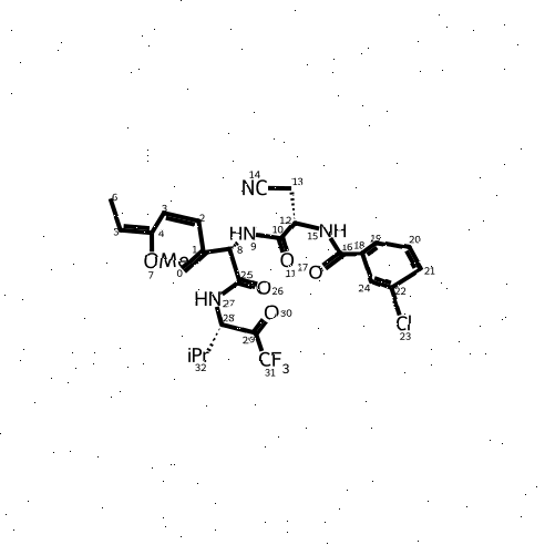 C=C(/C=C\C(=C/C)OC)[C@H](NC(=O)[C@H](CC#N)NC(=O)c1cccc(Cl)c1)C(=O)N[C@H](C(=O)C(F)(F)F)C(C)C